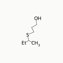 CCC(C)SCCCO